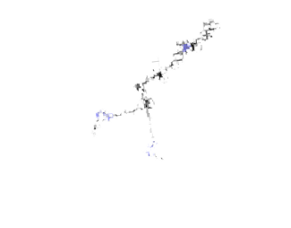 CCCCC/C=C\C/C=C\CCCCCCCCC1(CCCCCCCC/C=C\C/C=C\CCCCC)OCC(CCN(C)CCCCNC(=O)CCCOc2ccc(/C(C)=N/NC(=O)CCSSc3ccccn3)cc2)O1